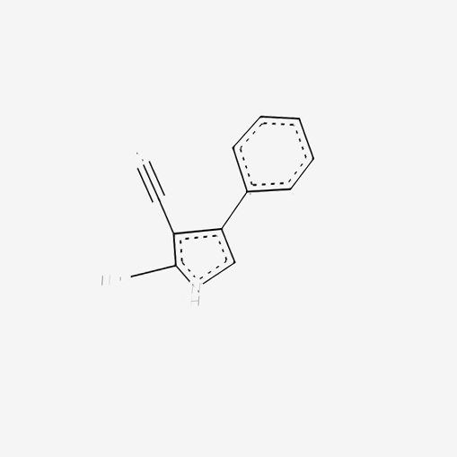 Cc1[nH]cc(-c2ccccc2)c1C#N